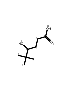 CC(C)(C)C(O)CCC(=O)O